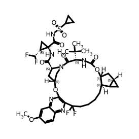 COc1ccc2nc3c(nc2c1)O[C@@H]1C[C@@H](C(=O)N[C@]2(C(=O)NS(=O)(=O)C4CC4)C[C@H]2C(F)F)N(C1)C(=O)[C@H](C(C)(C)C)NC(=O)O[C@@H]1C[C@@H]2CC2[C@H]1CCCCC3(F)F